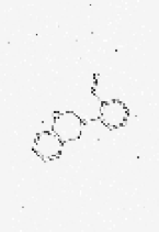 O=Cc1ccccc1N1COc2ccccc2C1